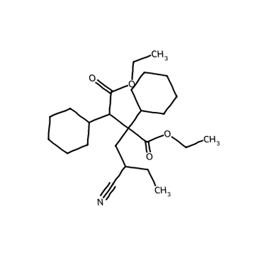 CCOC(=O)C(C1CCCCC1)C(CC(C#N)CC)(C(=O)OCC)C1CCCCC1